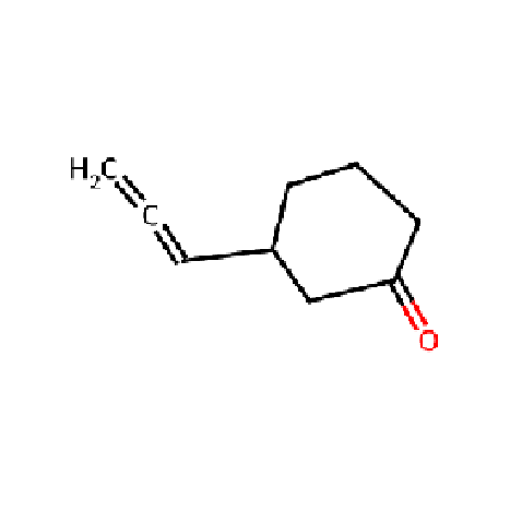 C=C=CC1CCCC(=O)C1